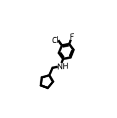 Fc1ccc(NCC2CCCC2)cc1Cl